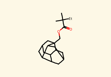 CCC(C)(C)C(=O)OCC12CC3CC4C5CC(CC41)CC2C5C3